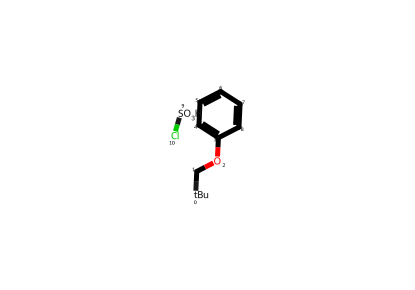 CC(C)(C)COc1ccccc1.O=S(=O)(O)Cl